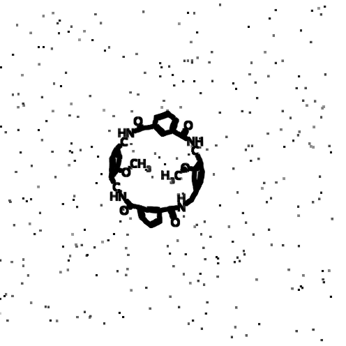 COc1cc2ccc1CNC(=O)c1cccc(c1)C(=O)NCc1ccc(c(OC)c1)CNC(=O)c1cccc(c1)C(=O)NC2